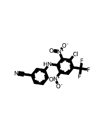 N#Cc1cccc(Nc2c([N+](=O)[O-])cc(C(F)(F)F)c(Cl)c2[N+](=O)[O-])c1